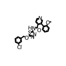 COc1ccccc1-c1cnccc1C(=O)Nc1nnc(OCc2cccc(Cl)c2)s1